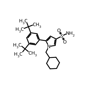 CC(C)(C)c1cc(-c2cc(S(N)(=O)=O)cn2CC2CCCCC2)cc(C(C)(C)C)c1